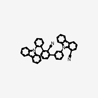 N#Cc1c(-c2cccc(-n3c4ccccc4c4cccc(C#N)c43)c2)cccc1-c1ccccc1-n1c2ccccc2c2ccccc21